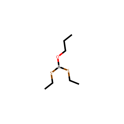 CCCOB(SCC)SCC